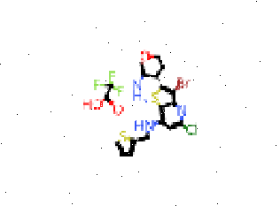 N[C@H]1COCC[C@@H]1c1sc2c(NCc3cccs3)cc(Cl)nc2c1Br.O=C(O)C(F)(F)F